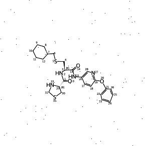 O=C(N[C@@H](CSCC1CCCCC1)C(=O)Nc1ccc(Oc2ccccc2)nc1)[C@@H]1CSCN1